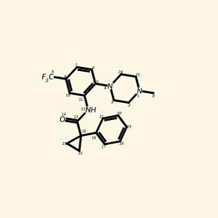 CN1CCN(c2ccc(C(F)(F)F)cc2NC(=O)C2(c3ccccc3)CC2)CC1